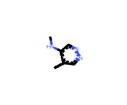 CNc1cnncc1C